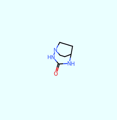 O=C1NC2CCN(CC2)N1